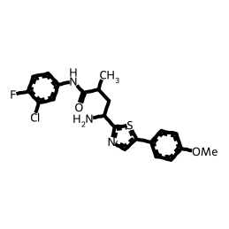 COc1ccc(-c2cnc(C(N)CC(C)C(=O)Nc3ccc(F)c(Cl)c3)s2)cc1